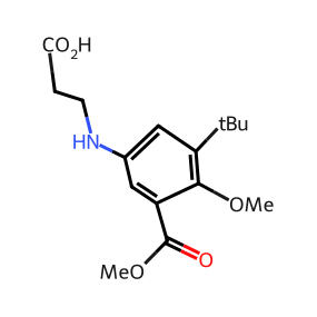 COC(=O)c1cc(NCCC(=O)O)cc(C(C)(C)C)c1OC